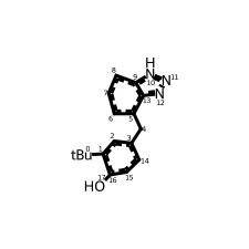 CC(C)(C)c1cc(Cc2cccc3[nH]nnc23)ccc1O